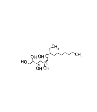 CCCCCCCC(CC)O/C=C(/O)C(O)[C@H](O)C(O)CO